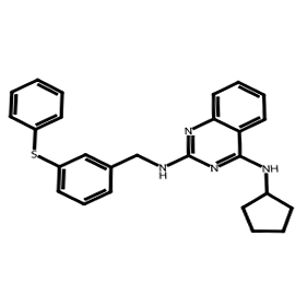 c1ccc(Sc2cccc(CNc3nc(NC4CCCC4)c4ccccc4n3)c2)cc1